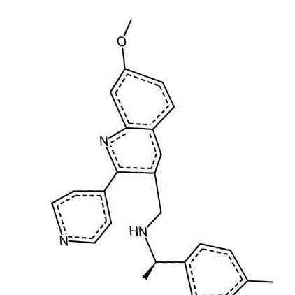 COc1ccc2cc(CN[C@H](C)c3ccc(C)cc3)c(-c3ccncc3)nc2c1